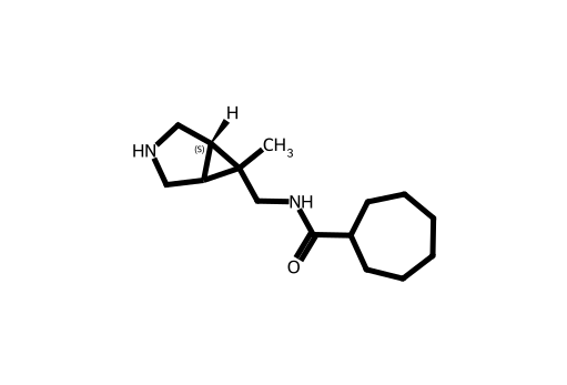 CC1(CNC(=O)C2CCCCCC2)C2CNC[C@@H]21